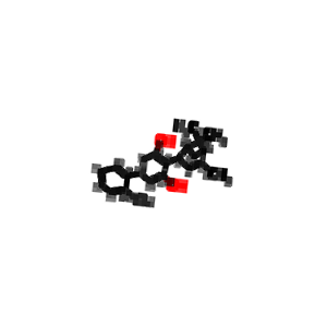 CC1=CC(c2c(O)cc(-c3ccccc3C(C)(C)C)cc2O)C2CC1C2(C)C